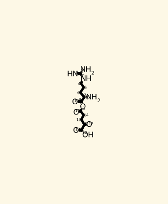 N=C(N)NCCC[C@H](N)C(=O)OC(=O)CCC(=O)C(=O)O